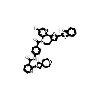 O=C(Nc1ccc(C(=O)N2CCc3cc(-c4nc5ccccc5[nH]4)sc3-c3ncc(F)cc32)cc1)c1cccnc1N1CC2(CCOCC2)C1